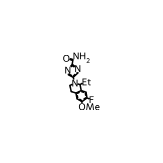 CCC1c2cc(F)c(OC)cc2CCN1c1cnc(C(N)=O)nc1